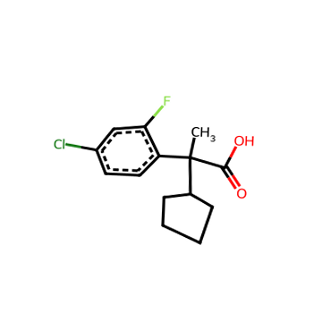 CC(C(=O)O)(c1ccc(Cl)cc1F)C1CCCC1